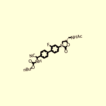 CCCCOC(=O)NC(C#N)c1ccc(-c2ccc(N3C[C@H](CNC(C)=O)OC3=O)cc2F)cc1